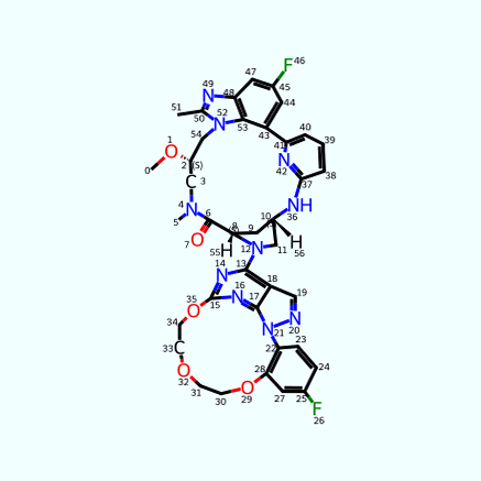 CO[C@H]1CN(C)C(=O)[C@@H]2C[C@@H](CN2c2nc3nc4c2cnn4-c2ccc(F)cc2OCCOCCO3)Nc2cccc(n2)-c2cc(F)cc3nc(C)n(c23)C1